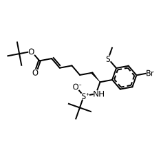 CSc1cc(Br)ccc1[C@H](CCC/C=C/C(=O)OC(C)(C)C)N[S+]([O-])C(C)(C)C